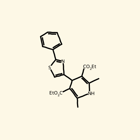 CCOC(=O)C1=C(C)NC(C)=C(C(=O)OCC)C1c1csc(-c2ccccc2)n1